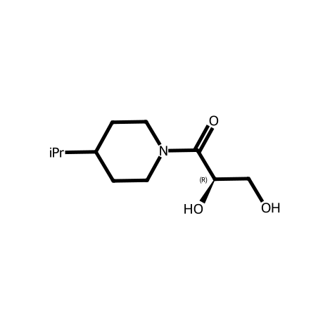 CC(C)C1CCN(C(=O)[C@H](O)CO)CC1